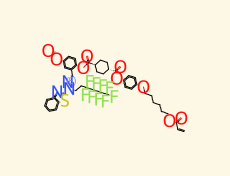 C=CC(=O)OCCCCCCOc1ccc(OC(=O)[C@H]2CC[C@H](C(=O)Oc3ccc(OC=O)cc3/C=N/N(CCC(F)(F)C(F)(F)C(F)(F)C(F)(F)F)c3nc4ccccc4s3)CC2)cc1